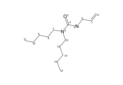 C=CC[N]C(=O)N(CCCCC)CCCCC